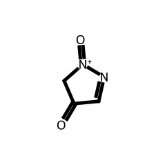 O=C1C=N[N+](=O)C1